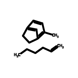 C=CCCCC.Cc1ccc2cc1CC2